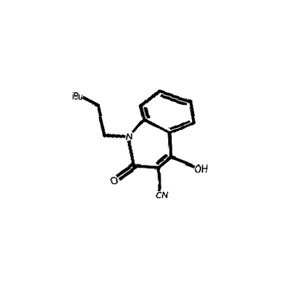 CCC(C)CCn1c(=O)c(C#N)c(O)c2ccccc21